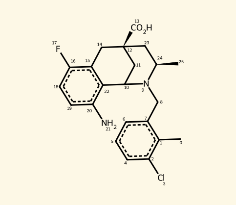 Cc1c(Cl)cccc1CN1C2C[C@](C(=O)O)(Cc3c(F)ccc(N)c32)C[C@H]1C